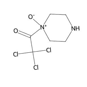 O=C(C(Cl)(Cl)Cl)[N+]1([O-])CCNCC1